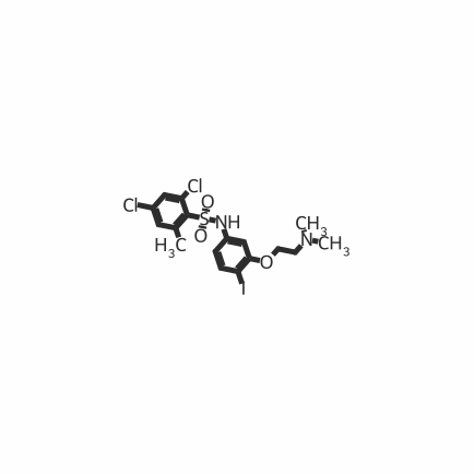 Cc1cc(Cl)cc(Cl)c1S(=O)(=O)Nc1ccc(I)c(OCCN(C)C)c1